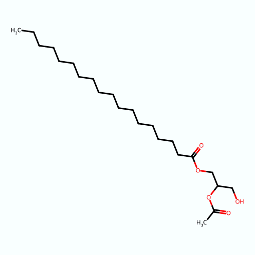 CCCCCCCCCCCCCCCCCC(=O)OCC(CO)OC(C)=O